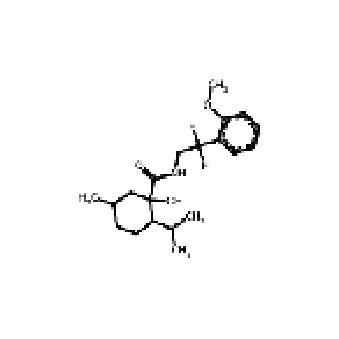 COc1ccccc1C(F)(F)CNC(=O)C1(O)CC(C)CCC1C(C)C